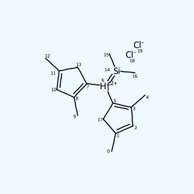 CC1=CC(C)=[C]([Hf+2]([C]2=C(C)C=C(C)C2)=[Si](C)C)C1.[Cl-].[Cl-]